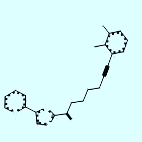 O=C(CCCCC#Cc1cccc(Cl)c1Cl)c1ncc(-c2ccccn2)o1